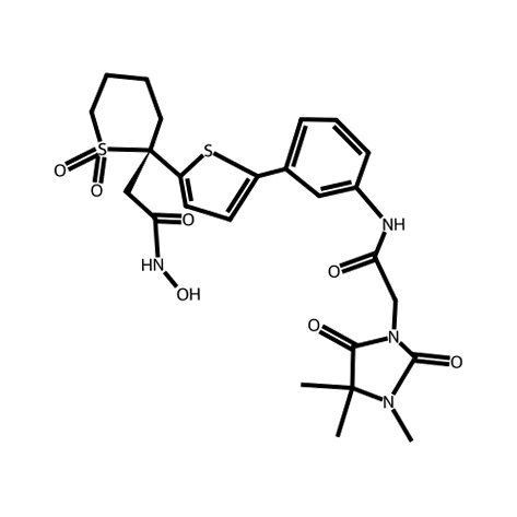 CN1C(=O)N(CC(=O)Nc2cccc(-c3ccc([C@@]4(CC(=O)NO)CCCCS4(=O)=O)s3)c2)C(=O)C1(C)C